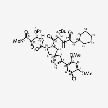 CCC[C@H](NC(=O)[C@@H]1C[C@]2(CC(c3cc(Cl)c(OC)cc3OC)=NO2)CN1C(=O)[C@@H](NC(=O)CC1CCCCC1)C(C)(C)C)C(=O)C(=O)NC